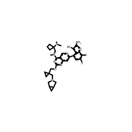 CN(CC1(N(C)C)CCC1)c1nc(OCC2(CN3CC4CC4C3)CC2)nc2cc(-c3cc(F)c(F)c4sc(N)c(C#N)c34)ncc12